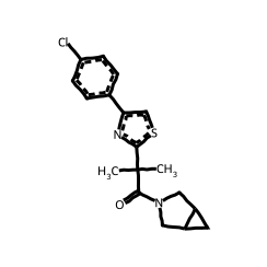 CC(C)(C(=O)N1CC2CC2C1)c1nc(-c2ccc(Cl)cc2)cs1